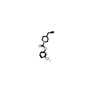 C#CCC1CCN(C(=O)Oc2cccc(C(F)(F)F)c2)CC1